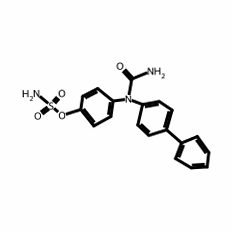 NC(=O)N(c1ccc(OS(N)(=O)=O)cc1)c1ccc(-c2ccccc2)cc1